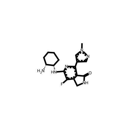 Cn1cc(-c2nc(N[C@H]3CCCC[C@H]3N)c(F)c3c2C(=O)NC3)cn1